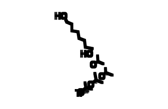 CC(C)[O-].CC(C)[O-].CC(C)[O-].CC(C)[O-].OCCCCCCCCO.[Ti+4]